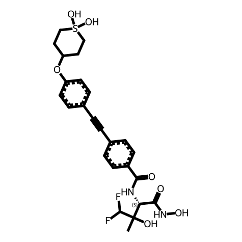 CC(O)(C(F)F)[C@H](NC(=O)c1ccc(C#Cc2ccc(OC3CCS(O)(O)CC3)cc2)cc1)C(=O)NO